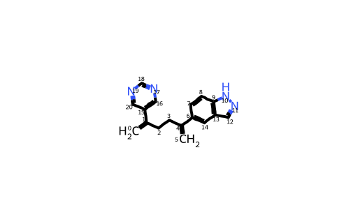 C=C(CCC(=C)c1ccc2[nH]ncc2c1)c1cncnc1